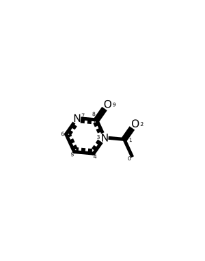 CC(=O)n1cccnc1=O